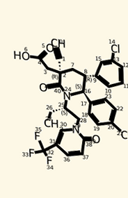 C#C[C@]1(CC(=O)O)C[C@H](c2cccc(Cl)c2)[C@@H](c2ccc(Cl)cc2)N([C@@H](CC)Cn2cc(C(F)(F)F)ccc2=O)C1=O